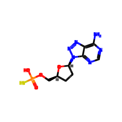 Nc1ncnc2c1nnn2[C@H]1CC[C@@H](COP(=O)(O)S)O1